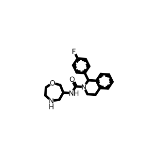 O=C(NC1CNCCOC1)N1CCc2ccccc2C1c1ccc(F)cc1